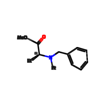 CC[C@@H](C(=O)OC)N(CC)Cc1ccccc1